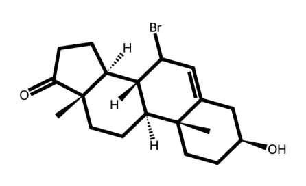 C[C@]12CC[C@H](O)CC1=CC(Br)[C@@H]1[C@@H]2CC[C@]2(C)C(=O)CC[C@@H]12